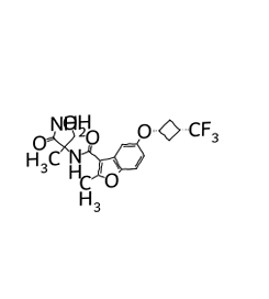 Cc1oc2ccc(O[C@H]3C[C@@H](C(F)(F)F)C3)cc2c1C(=O)NC(C)(CO)C(N)=O